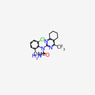 COc1cccc(Cl)c1N(C(N)=O)c1nc2c(c(C(F)(F)F)n1)CCCC2